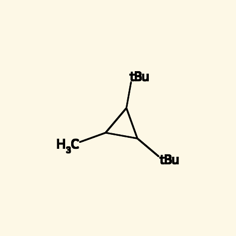 CC1C(C(C)(C)C)C1C(C)(C)C